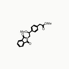 COC(=O)Cc1ccc(C(CN2C(=O)c3ccccc3C2=O)OC)cc1